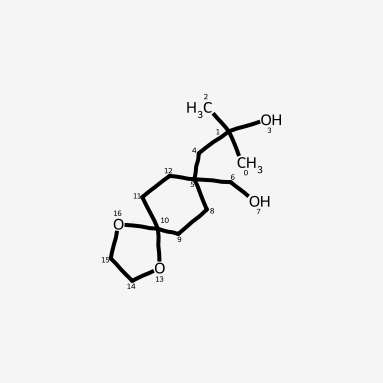 CC(C)(O)CC1(CO)CCC2(CC1)OCCO2